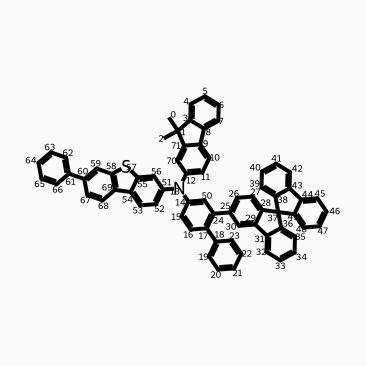 CC1(C)c2ccccc2-c2ccc(N(c3ccc(-c4ccccc4)c(-c4ccc5c(c4)-c4ccccc4C54c5ccccc5-c5ccccc54)c3)c3ccc4c(c3)sc3cc(-c5ccccc5)ccc34)cc21